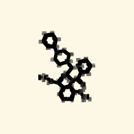 COC(=O)c1cccc(OC)c1N(CCN1CCN(c2ccccc2)CC1)C(=O)c1ccccn1